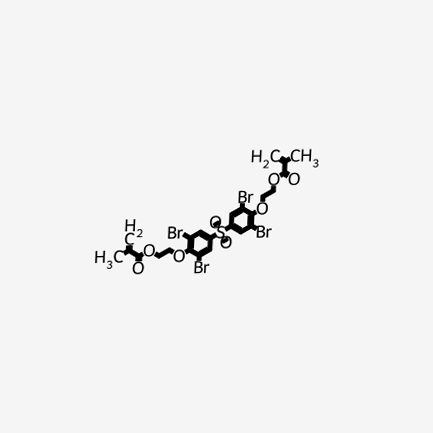 C=C(C)C(=O)OCCOc1c(Br)cc(S(=O)(=O)c2cc(Br)c(OCCOC(=O)C(=C)C)c(Br)c2)cc1Br